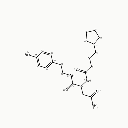 NC(=O)CC(NC(=O)CCCC1CCCC1)C(=O)NCCc1ccc(O)cc1